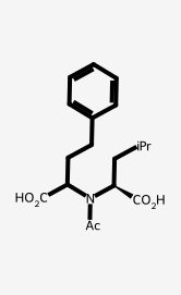 CC(=O)N(C(CCc1ccccc1)C(=O)O)[C@@H](CC(C)C)C(=O)O